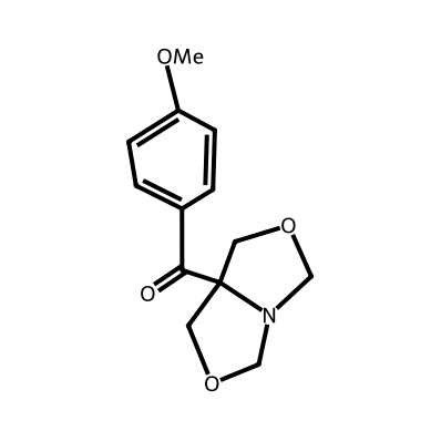 COc1ccc(C(=O)C23COCN2COC3)cc1